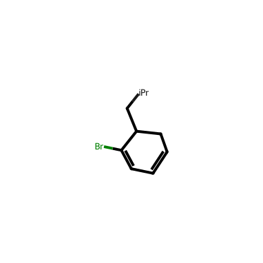 CC(C)CC1CC=CC=C1Br